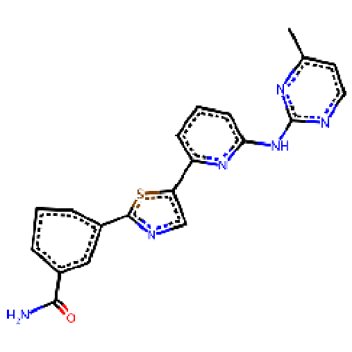 Cc1ccnc(Nc2cccc(-c3cnc(-c4cccc(C(N)=O)c4)s3)n2)n1